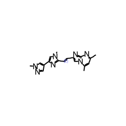 Cc1cc(C)n2cc(/C=C/c3nc(-c4cnn(C)c4)cn3C)nc2n1